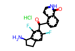 Cl.NC1CCc2cc(F)c(C(=O)c3cccc4c(=O)[nH]ccc34)c(F)c21